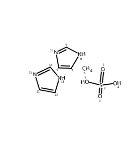 C.O=S(=O)(O)O.c1c[nH]cn1.c1c[nH]cn1